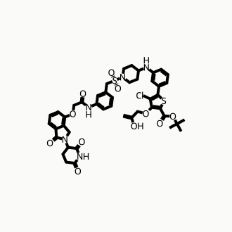 C=C(O)COc1c(C(=O)OC(C)(C)C)sc(-c2cccc(NC3CCN(S(=O)(=O)Cc4cccc(NC(=O)COc5cccc6c5CN(C5CCC(=O)NC5=O)C6=O)c4)CC3)c2)c1Cl